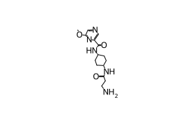 COc1cncc(C(=O)NC2CCC(NC(=O)CCN)CC2)n1